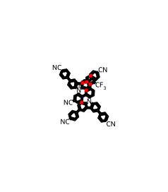 N#Cc1ccc(-c2ccc3c(c2)c2cc(-c4ccc(C#N)cc4)ccc2n3-c2ccc(-c3c(C(F)(F)F)cccc3C(F)(F)F)cc2-c2ccc(C#N)cc2-n2c3ccc(-c4ccc(C#N)cc4)cc3c3cc(-c4ccc(C#N)cc4)ccc32)cc1